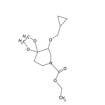 CCOC(=O)N1CCC(OC)(OC)C(OCC2CC2)C1